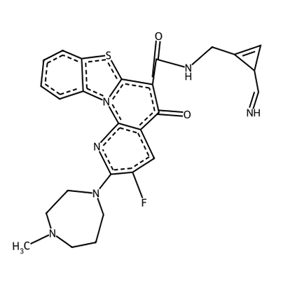 CN1CCCN(c2nc3c(cc2F)c(=O)c(C(=O)NCC2=CC2C=N)c2sc4ccccc4n23)CC1